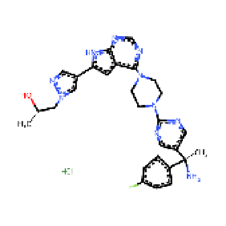 C[C@H](O)Cn1cc(-c2cc3c(N4CCN(c5ncc([C@@](C)(N)c6ccc(F)cc6)cn5)CC4)ncnc3[nH]2)cn1.Cl